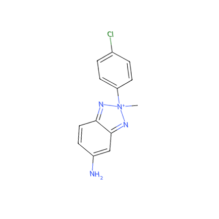 C[N+]1(c2ccc(Cl)cc2)N=c2ccc(N)cc2=N1